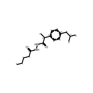 CCCCC(=O)NNC(=O)C(C)c1ccc(CC(C)C)cc1